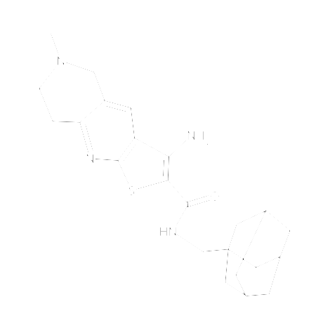 C[C@H](NC(=O)c1sc2nc3c(cc2c1N)CN(C)CC3)C12CC3CC(CC(C3)C1)C2